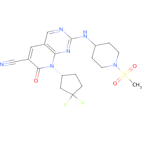 CS(=O)(=O)N1CCC(Nc2ncc3cc(C#N)c(=O)n([C@@H]4CCC(F)(F)C4)c3n2)CC1